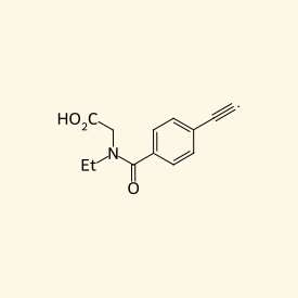 [C]#Cc1ccc(C(=O)N(CC)CC(=O)O)cc1